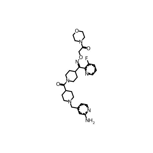 Nc1cc(CN2CCC(C(=O)N3CCC(C(=NOCC(=O)N4CCOCC4)c4ncccc4F)CC3)CC2)ccn1